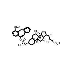 COc1cccc2c1Sc1ccccc1C=C2OP(=O)(O)O[C@@H]1CC[C@@]2(C)C(C1)C[C@@H](O)[C@H]1[C@@H]3CCC([C@H](C)CCC(=O)O)[C@@]3(C)[C@@H](O)C[C@@H]12